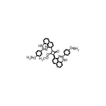 BOc1ccc(B2N=c3/c(=C4\C(=O)C(c5ccc6cccc7c6c5NB(c5ccc(OB)cc5)N7)C4OOC)ccc4cccc(c34)N2)cc1